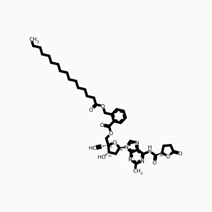 C#C[C@]1(COC(=O)c2ccccc2COC(=O)CCCCCCCCCCCCCCC)O[C@@H](n2cnc3c(NC(=O)[C@H]4CCC(=O)O4)nc(C)nc32)C[C@@H]1O